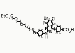 CCOC(=O)COCCOCCOCCOc1ccc(Nc2nc(N3CCN(C(=O)O)CC3)c3cc(Cl)c(Br)c(F)c3n2)cc1